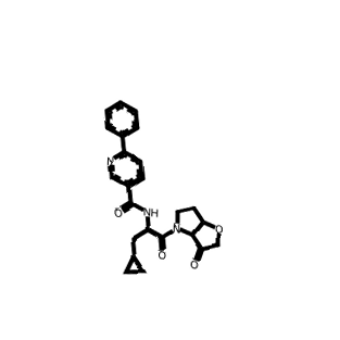 O=C(NC(CC1CC1)C(=O)N1CCC2OCC(=O)C21)c1ccc(-c2ccccc2)nc1